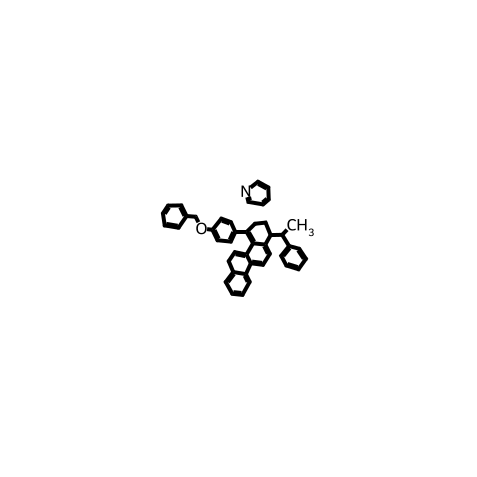 CC(c1ccccc1)C1CCC(c2ccc(OCc3ccccc3)cc2)=c2c1ccc1c2=CCc2ccccc2-1.c1ccncc1